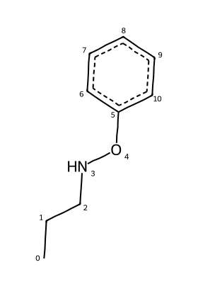 CCCNOc1ccccc1